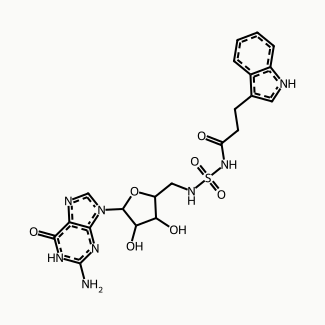 Nc1nc2c(ncn2C2OC(CNS(=O)(=O)NC(=O)CCc3c[nH]c4ccccc34)C(O)C2O)c(=O)[nH]1